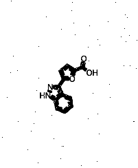 O=C(O)c1ccc(-c2n[nH]c3ccccc23)o1